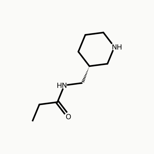 CCC(=O)NC[C@@H]1CCCNC1